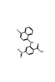 O=C(O)c1ccc([N+](=O)[O-])cc1Nc1ccc(F)c2ccccc12